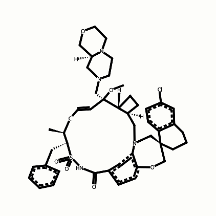 CO[C@]1(CN2CCN3CCOC[C@@H]3C2)/C=C/C[C@H](C)[C@@H](Cc2ccccc2)S(=O)(=O)NC(=O)c2ccc3c(c2)N(C[C@@H]2CC[C@H]21)C[C@@]1(CCCc2cc(Cl)ccc21)CO3